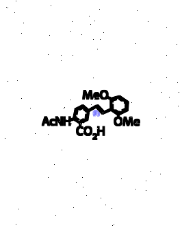 COc1cccc(OC)c1/C=C/c1ccc(NC(C)=O)c(C(=O)O)c1